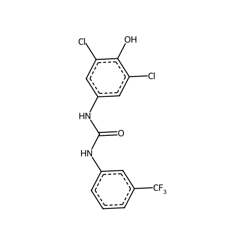 O=C(Nc1cccc(C(F)(F)F)c1)Nc1cc(Cl)c(O)c(Cl)c1